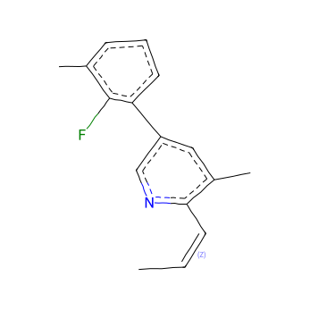 C/C=C\c1ncc(-c2cccc(C)c2F)cc1C